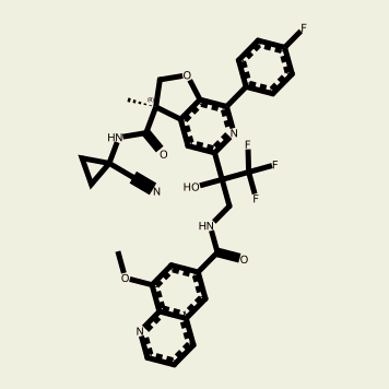 COc1cc(C(=O)NCC(O)(c2cc3c(c(-c4ccc(F)cc4)n2)OC[C@]3(C)C(=O)NC2(C#N)CC2)C(F)(F)F)cc2cccnc12